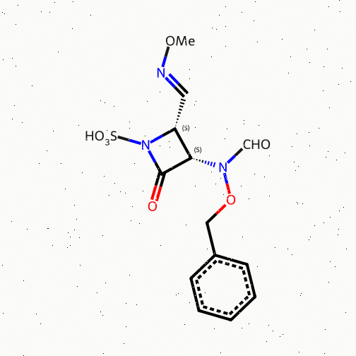 CON=C[C@@H]1[C@H](N(C=O)OCc2ccccc2)C(=O)N1S(=O)(=O)O